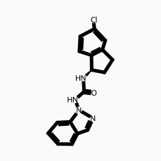 O=C(N[C@@H]1CCc2cc(Cl)ccc21)Nn1ncc2ccccc21